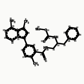 Cc1ncc(-c2cc(C(F)(F)F)c3c(N)ncnn23)cc1C(=O)NCC(Cc1ccccc1)NC(=O)OC(C)(C)C